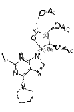 CC(=O)OC[C@H]1O[C@@H](n2cnc3c(N4CCCC4)nc(I)nc32)[C@H](OC(C)=O)[C@@H]1OC(C)=O